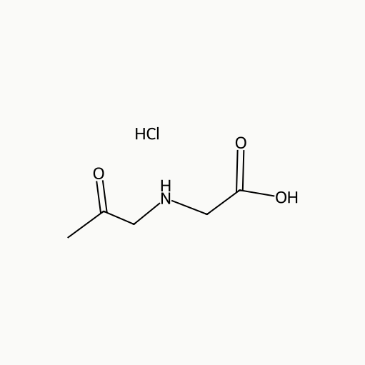 CC(=O)CNCC(=O)O.Cl